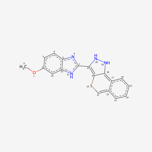 COc1ccc2nc(C3=C4SC=c5ccccc5=C4NN3)[nH]c2c1